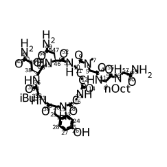 CCCCCCCC[C@H](NC(=O)CN(C)C(=O)[C@@H]1CCC(=O)NCC(=O)N[C@@H](Cc2ccc(O)cc2)C(=O)N[C@@H]([C@@H](C)CC)C(=O)N[C@@H](CCC(N)=O)C(=O)N[C@@H](CC(N)=O)C(=O)N1)C(=O)NCC(N)=O